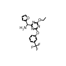 CCOc1nc(Oc2cccc(C(F)(F)F)c2)nc(C(N)c2ccco2)n1